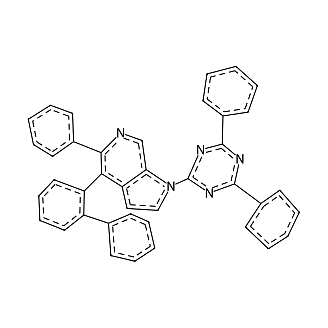 c1ccc(-c2nc(-c3ccccc3)nc(-n3ccc4c(-c5ccccc5-c5ccccc5)c(-c5ccccc5)ncc43)n2)cc1